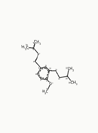 [CH2]Oc1ccc(CCC(C)C)cc1CCC(C)C